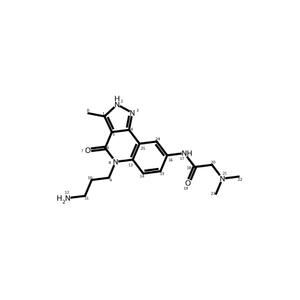 Cc1[nH]nc2c1c(=O)n(CCCN)c1ccc(NC(=O)CN(C)C)cc21